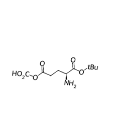 CC(C)(C)OC(=O)[C@@H](N)CCC(=O)OC(=O)O